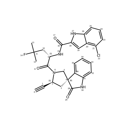 C#C[C@@H]1C[C@@]2(CN1C(=O)[C@H](CC(C)(C)F)NC(=O)c1cc3c(Cl)cccc3[nH]1)C(=O)Nc1ccccc12